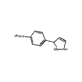 CCCCCc1ccc(C2C=CNN2)cc1